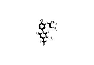 CC=C(C)Oc1cc(-n2c(=O)cc(C(F)(F)F)n(C)c2=O)ccc1Cl